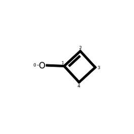 [O]C1=CCC1